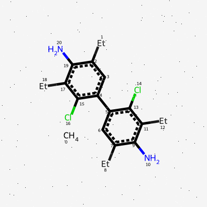 C.CCc1cc(-c2cc(CC)c(N)c(CC)c2Cl)c(Cl)c(CC)c1N